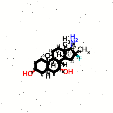 C[C@]12CC[C@H](O)C[C@@H]1C[C@H](O)[C@@H]1[C@@H]2CC[C@]2(C)[C@@H](N)[C@](C)(F)C[C@@H]12